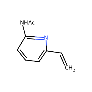 C=Cc1cccc(NC(C)=O)n1